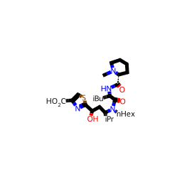 CCCCCCN(C(=O)C(NC(=O)[C@H]1CCCCN1C)C(C)CC)C(CC(O)c1nc(C(=O)O)cs1)C(C)C